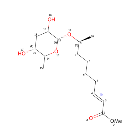 COC(=O)/C=C/CCCC[C@H](C)O[C@@H]1OC(C)[C@H](O)CC1O